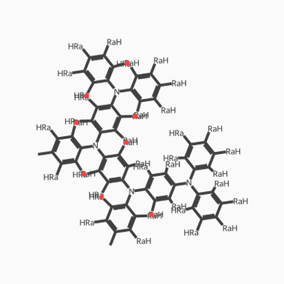 Cc1[c]([RaH])[c]([RaH])c(N(c2[c]([RaH])[c]([RaH])c(N(c3[c]([RaH])[c]([RaH])[c]([RaH])[c]([RaH])[c]3[RaH])c3[c]([RaH])[c]([RaH])[c]([RaH])[c]([RaH])[c]3[RaH])[c]([RaH])[c]2[RaH])c2[c]([RaH])[c]([RaH])c(N(c3[c]([RaH])[c]([RaH])c(C)[c]([RaH])[c]3[RaH])c3[c]([RaH])[c]([RaH])c(N(c4[c]([RaH])[c]([RaH])[c]([RaH])[c]([RaH])[c]4[RaH])c4[c]([RaH])[c]([RaH])[c]([RaH])[c]([RaH])[c]4[RaH])[c]([RaH])[c]3[RaH])[c]([RaH])[c]2[RaH])[c]([RaH])[c]1[RaH]